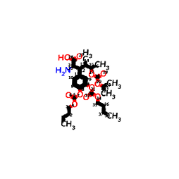 CCCCOC(=O)Oc1ccc(C(C(C)C(C)OC(=O)OC(C)C)[C@H](N)C(=O)O)cc1OC(=O)OCCCC